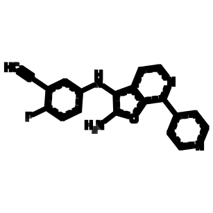 C#Cc1cc(Nc2c(N)oc3c(-c4ccncc4)nccc23)ccc1F